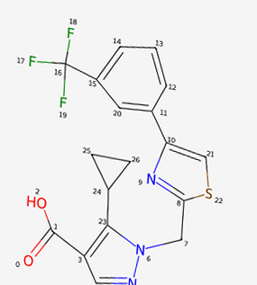 O=C(O)c1cnn(Cc2nc(-c3cccc(C(F)(F)F)c3)cs2)c1C1CC1